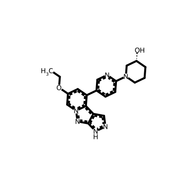 CCOc1cc(-c2ccc(N3CCC[C@@H](O)C3)nc2)c2c3cn[nH]c3nn2c1